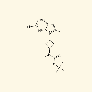 Cc1cc2ccc(Cl)nc2n1[C@H]1C[C@H](N(C)C(=O)OC(C)(C)C)C1